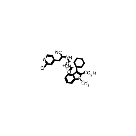 Cn1c(C(=O)O)c([C@]2(C(N)=O)CCCC[C@H]2C(=O)NC(C#N)Cc2ccnc(Cl)c2)c2ccccc21